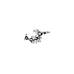 Cc1c(/C=C/CN2CCN(c3cc(F)cc(F)c3)C[C@H]2C)cnn1-c1cc(N2CC(O)C2)nc(N)n1.Cl